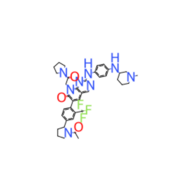 CC(=O)N1CCCC1c1ccc(-c2cc3cnc(Nc4ccc(NC5CCCN(C)C5)cc4)nc3n(CC(=O)N3CCCC3)c2=O)c(C(F)(F)F)c1